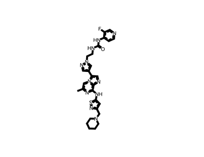 Cc1cn2c(-c3cnn(CCNC(=O)Nc4ccncc4F)c3)cnc2c(Nc2cc(CN3CCCCC3)ns2)n1